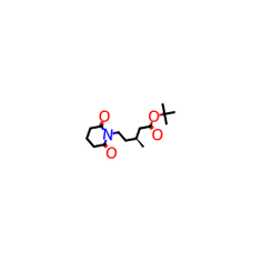 C[C@@H](CCN1C(=O)CCCC1=O)CC(=O)OC(C)(C)C